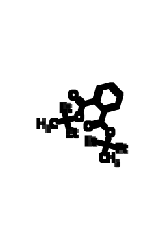 CCC(C)(CC)OC(=O)c1ccccc1C(=O)OC(C)(CC)CC